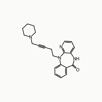 O=C1Nc2cccnc2N(CCC#CCN2CCCCC2)c2ccccc21